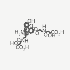 CN1CC[C@]23c4c5ccc(O)c4O[C@H]2C(OC(=O)CCNC(=O)C[C@H](O)C(=O)O)=CC[C@@]3(CC(=O)CCNC(=O)C[C@H](O)C(=O)O)[C@H]1C5